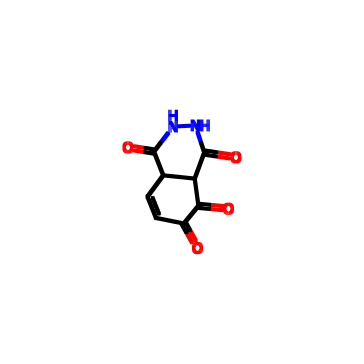 O=C1C=CC2C(=O)NNC(=O)C2C1=O